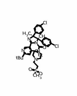 CCOc1cc(C(C)(C)C)ncc1C1=N[C@@](C)(c2ccc(Cl)cc2)[C@@](C)(c2ccc(Cl)cc2)N1C(=O)N1CCN(CCS(C)(=O)=O)CC1